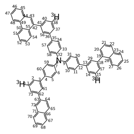 [3H]c1cc(-c2ccc(N(c3ccc(-c4cc([3H])cc(-c5cccc6ccccc56)c4)cc3)c3ccc(-c4cc([3H])cc(-c5cc6ccccc6c6ccccc56)c4)cc3)cc2)cc(-c2ccc3ccccc3c2)c1